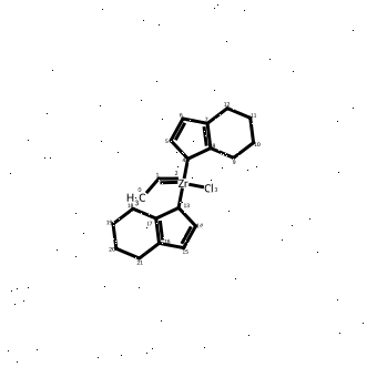 C[CH]=[Zr]([Cl])([CH]1C=CC2=C1CCCC2)[CH]1C=CC2=C1CCCC2